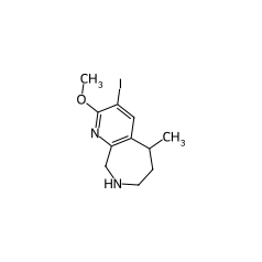 COc1nc2c(cc1I)C(C)CCNC2